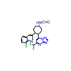 O=CN[C@H]1CCC(c2cnc3c(F)cccc3c2)C(c2cc(C(F)F)nc3ncnn23)CC1